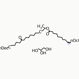 CCCCCCCC/C=C\CCCCCCCC(=O)OC(C)CCCCCCCCCC(=O)CCCCCCCCCCCCCCC.OCC(O)CO